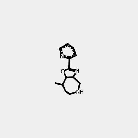 CC1CCNCC2N=C(c3ccccn3)OC12